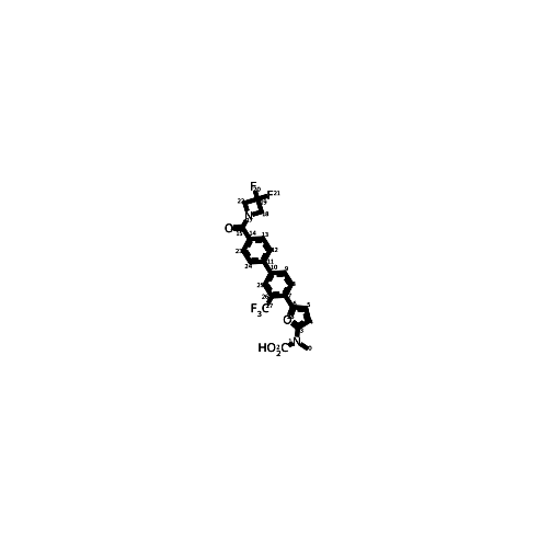 CN(C(=O)O)c1ccc(-c2ccc(-c3ccc(C(=O)N4CC(F)(F)C4)cc3)cc2C(F)(F)F)o1